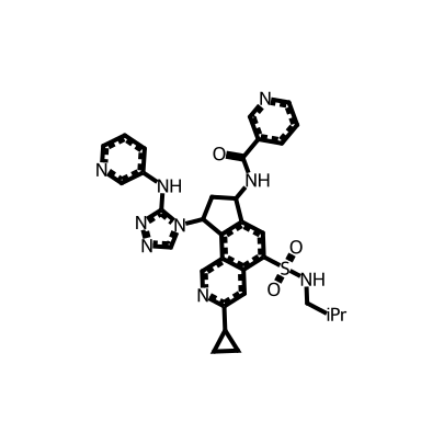 CC(C)CNS(=O)(=O)c1cc2c(c3cnc(C4CC4)cc13)C(n1cnnc1Nc1cccnc1)CC2NC(=O)c1cccnc1